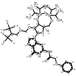 CC(C)[Si]1(C(C)C)OC[C@H]2O[C@@H](n3cnc4c(=O)[nH]c(NC(=O)COc5ccccc5)nc43)[C@@H](OCOCC(C(F)(F)F)C(F)(F)F)C2O[Si](C(C)C)(C(C)C)O1